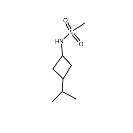 CC(C)C1CC(NS(C)(=O)=O)C1